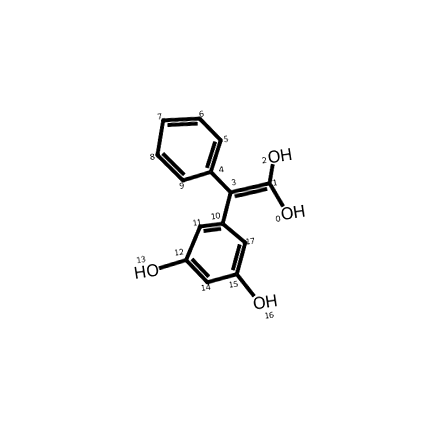 OC(O)=C(c1ccccc1)c1cc(O)cc(O)c1